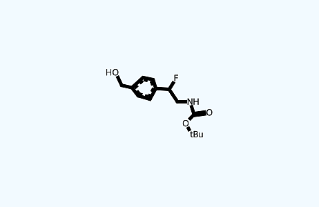 CC(C)(C)OC(=O)NCC(F)c1ccc(CO)cc1